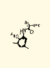 Cc1cc(C)c(O)c(NC(=O)[C@@H](Br)C(C)C)c1